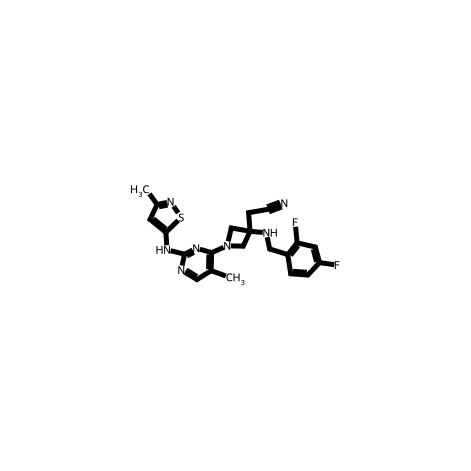 Cc1cc(Nc2ncc(C)c(N3CC(CC#N)(NCc4ccc(F)cc4F)C3)n2)sn1